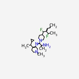 C=C/C=C(\C(C)F)C(F)C1CCN(/C(=N/C2=C(C(C)C3CC3)CCN(C)C2)C(=C)N)CC1